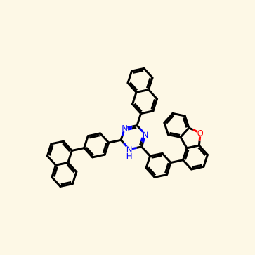 c1cc(C2=NC(c3ccc4ccccc4c3)=NC(c3ccc(-c4cccc5ccccc45)cc3)N2)cc(-c2cccc3oc4ccccc4c23)c1